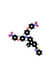 CCC1(CC)c2cc(-c3nc4ccccc4s3)ccc2-c2ccc(N(c3ccc(Oc4ccc([N+](=O)[O-])cc4)cc3)c3ccc(Oc4ccc([N+](=O)[O-])cc4)cc3)cc21